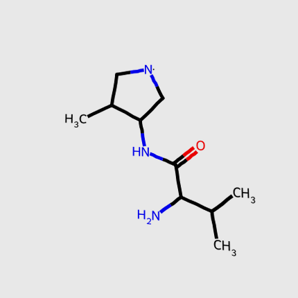 CC(C)C(N)C(=O)NC1C[N]CC1C